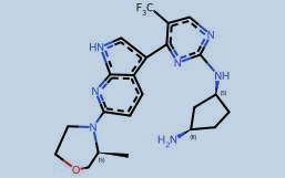 C[C@H]1COCCN1c1ccc2c(-c3nc(N[C@H]4CC[C@@H](N)C4)ncc3C(F)(F)F)c[nH]c2n1